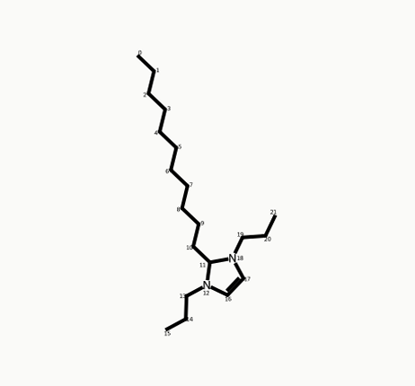 CCCCCCCCCCCC1N(CCC)C=CN1CCC